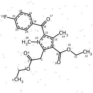 CCOC(=O)Cc1c(C(=O)OCC)c(C)c(C(=O)c2ccc(F)cc2)n1C